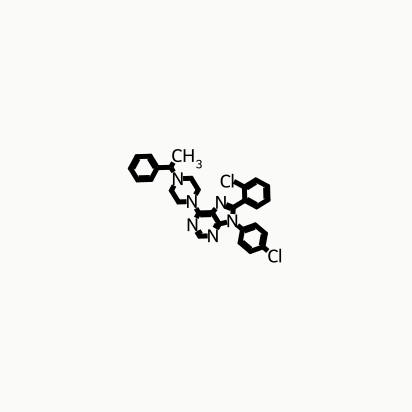 CC(c1ccccc1)N1CCN(c2ncnc3c2nc(-c2ccccc2Cl)n3-c2ccc(Cl)cc2)CC1